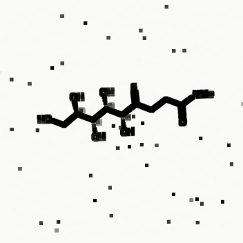 CNC(=O)CCC(=S)[C@H](O)[C@@H](O)[C@H](O)[C@H](O)CO